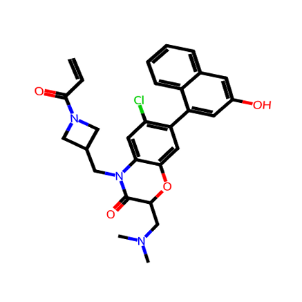 C=CC(=O)N1CC(CN2C(=O)C(CN(C)C)Oc3cc(-c4cc(O)cc5ccccc45)c(Cl)cc32)C1